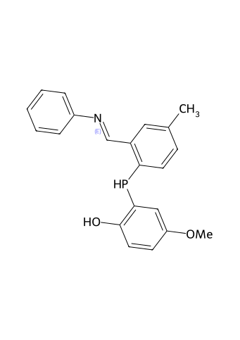 COc1ccc(O)c(Pc2ccc(C)cc2/C=N/c2ccccc2)c1